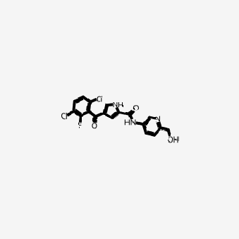 O=C(Nc1ccc(CO)nc1)c1cc(C(=O)c2c(Cl)ccc(Cl)c2F)c[nH]1